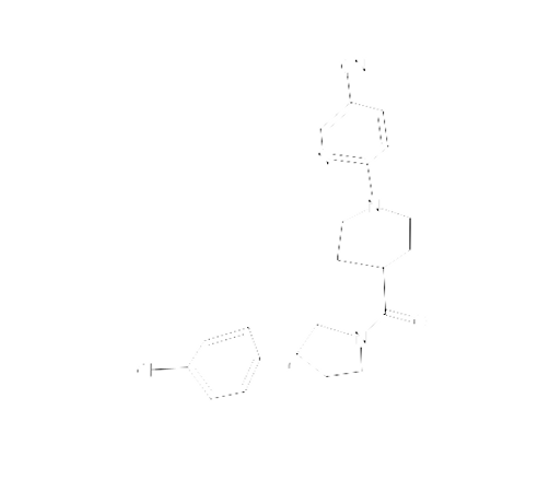 N#Cc1ccc(N2CCC(C(=O)N3CC[C@H](c4ccc(Cl)cc4)C3)CC2)nc1